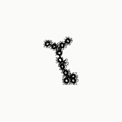 CC1(C)c2cc(-c3ccc(N(c4ccc(-c5ccccc5)cc4)c4ccc(-c5ccccc5)cc4)cc3)ccc2-c2ccc(-c3ccc(N(c4ccccc4)c4cccc5ccccc45)cc3)cc21